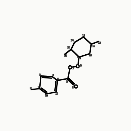 Cc1ccc(C(=O)OO[C]2CC(C)CCC2C)cc1